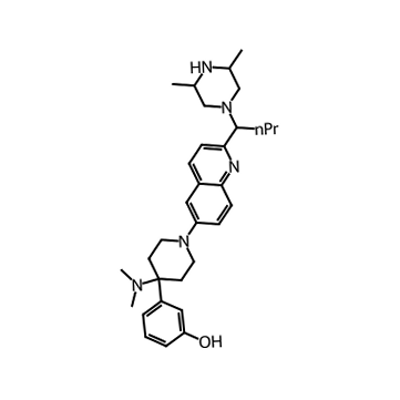 CCCC(c1ccc2cc(N3CCC(c4cccc(O)c4)(N(C)C)CC3)ccc2n1)N1CC(C)NC(C)C1